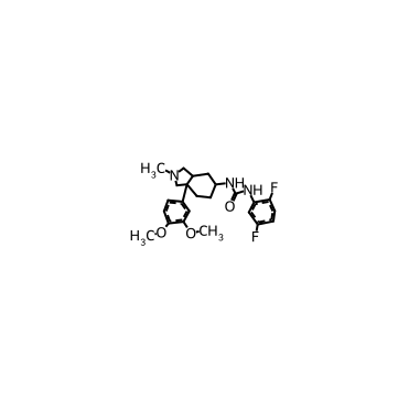 COc1ccc(C23CCC(NC(=O)Nc4cc(F)ccc4F)CC2CN(C)C3)cc1OC